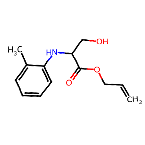 C=CCOC(=O)C(CO)Nc1ccccc1C